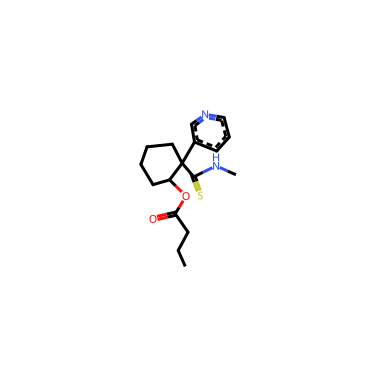 CCCC(=O)OC1CCCCC1(C(=S)NC)c1cccnc1